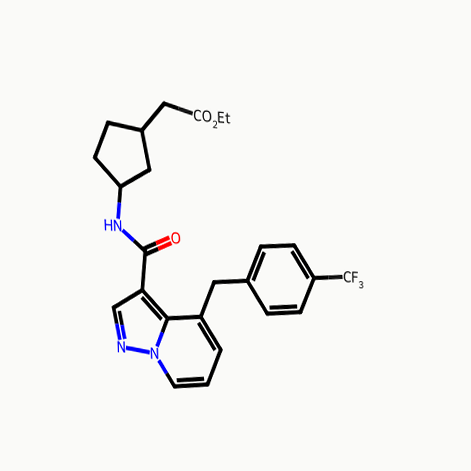 CCOC(=O)CC1CCC(NC(=O)c2cnn3cccc(Cc4ccc(C(F)(F)F)cc4)c23)C1